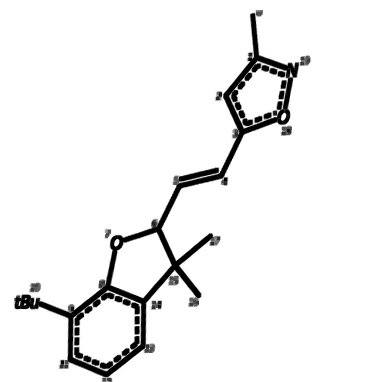 Cc1cc(C=CC2Oc3c(C(C)(C)C)cccc3C2(C)C)on1